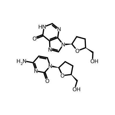 Nc1ccn([C@H]2CC[C@@H](CO)O2)c(=O)n1.O=c1[nH]cnc2c1ncn2[C@H]1CC[C@@H](CO)O1